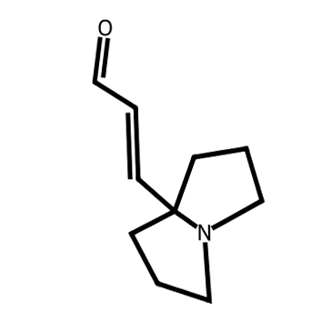 O=CC=CC12CCCN1CCC2